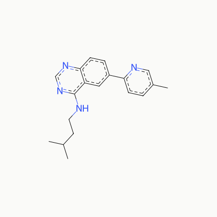 Cc1ccc(-c2ccc3ncnc(NCCC(C)C)c3c2)nc1